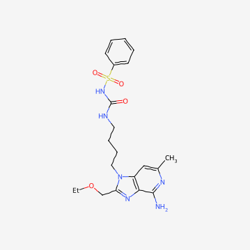 CCOCc1nc2c(N)nc(C)cc2n1CCCCNC(=O)NS(=O)(=O)c1ccccc1